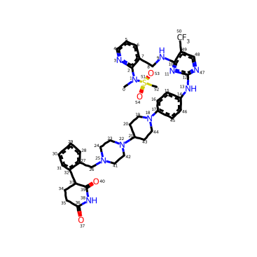 CN(c1ncccc1CNc1nc(Nc2ccc(N3CCC(N4CCN(Cc5ccccc5C5CCC(=O)NC5=O)CC4)CC3)cc2)ncc1C(F)(F)F)S(C)(=O)=O